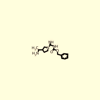 CC(N)C1CCN(C(=N)NC(=O)OCc2ccccc2)C1